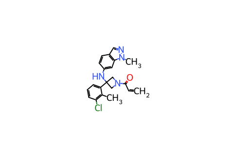 C=CC(=O)N1CC(Nc2ccc3cnn(C)c3c2)(c2cccc(Cl)c2C)C1